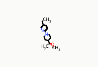 CCc1ccc(N2CCC(C(C)OC)CC2)nc1